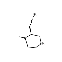 CC(C)OC[C@H]1CNCCN1C